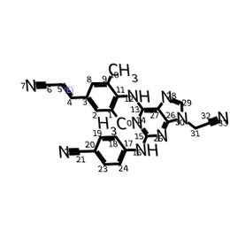 Cc1cc(/C=C/C#N)cc(C)c1Nc1nc(Nc2ccc(C#N)cc2)nc2c1ncn2CC#N